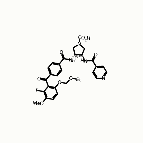 CCOCOc1ccc(OC)c(F)c1C(=O)c1ccc(C(=O)N[C@@H]2CN(C(=O)O)C[C@H]2NC(=O)c2ccncc2)cc1